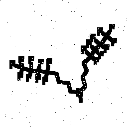 CN(CCCCC(F)(F)C(F)(F)C(F)(F)C(F)(F)F)CCCCC(F)(F)C(F)(F)C(F)(F)C(F)(F)F